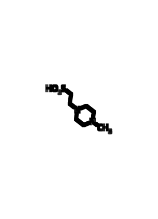 CN1CCN(CCS(=O)(=O)O)CC1